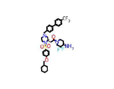 N[C@@H]1CCN(C(=O)C[C@@H]2CN(Cc3ccc(-c4ccc(C(F)(F)F)cc4)cc3)CCN2S(=O)(=O)c2ccc(OCC3CCCCC3)cc2)CC1(F)F